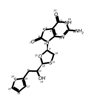 Nc1nc2c(sc(=O)n2[C@H]2CS[C@@H](C(O)Cc3cccs3)O2)c(=O)[nH]1